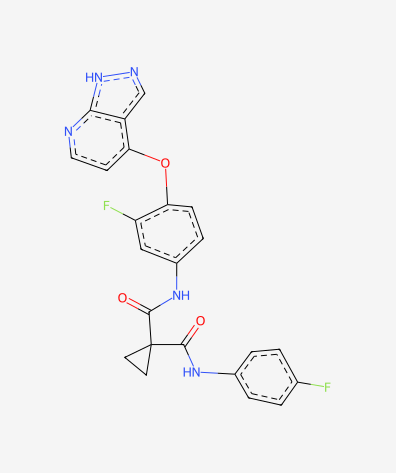 O=C(Nc1ccc(F)cc1)C1(C(=O)Nc2ccc(Oc3ccnc4[nH]ncc34)c(F)c2)CC1